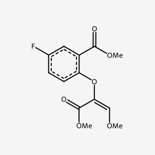 CO/C=C(/Oc1ccc(F)cc1C(=O)OC)C(=O)OC